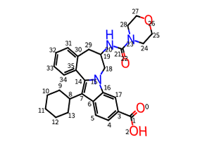 O=C(O)c1ccc2c(C3CCCCC3)c3n(c2c1)CC(NC(=O)N1CCOCC1)Cc1ccccc1-3